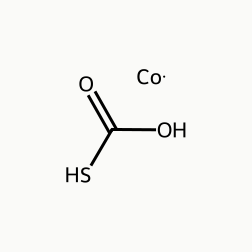 O=C(O)S.[Co]